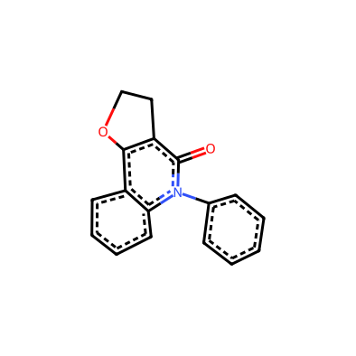 O=c1c2c(c3ccccc3n1-c1ccccc1)OCC2